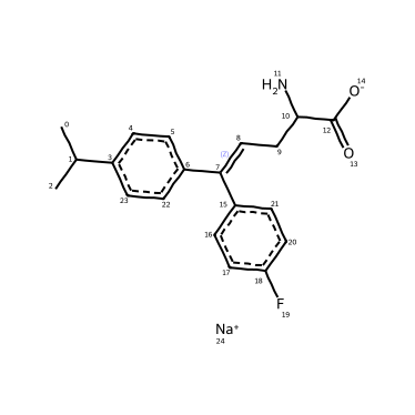 CC(C)c1ccc(/C(=C/CC(N)C(=O)[O-])c2ccc(F)cc2)cc1.[Na+]